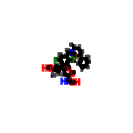 C[C@H]1CC[C@H](c2ccccc2)SN1Cc1cc(F)c([C@]2(C(=O)CC(=O)NO)C[C@](C)(O)C2)cc1F